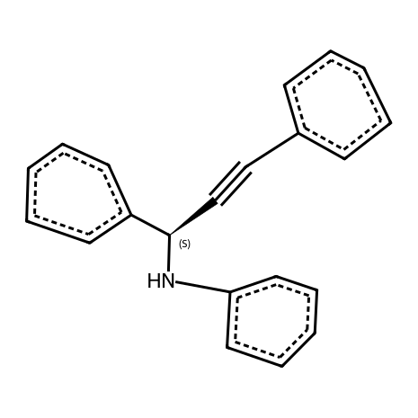 C(#C[C@@H](Nc1ccccc1)c1ccccc1)c1ccccc1